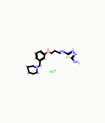 Cl.Nc1nnc(NCCCOc2cccc(CN3CCCCC3)c2)s1